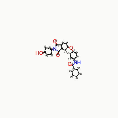 O=C(Nc1ccc(Oc2ccc3c(c2)C(=O)N(c2ccc(O)cc2)C3=O)cc1)C1CCCCC1